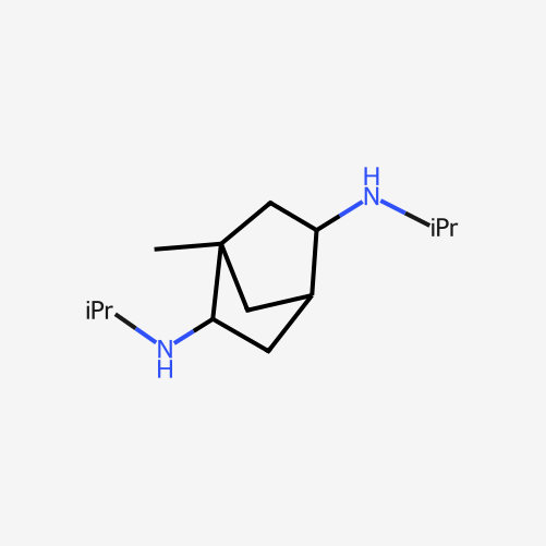 CC(C)NC1CC2(C)CC1CC2NC(C)C